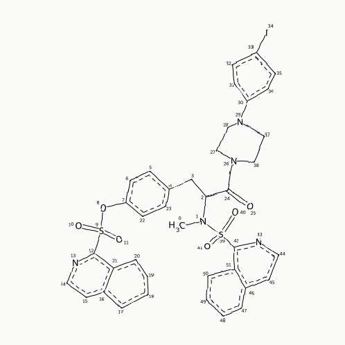 CN(C(Cc1ccc(OS(=O)(=O)c2nccc3ccccc23)cc1)C(=O)N1CCN(c2ccc(I)cc2)CC1)S(=O)(=O)c1nccc2ccccc12